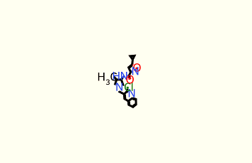 CC1CN(Cc2cc3ccccc3nc2Cl)CC1NC(=O)c1cc(C2CC2)on1